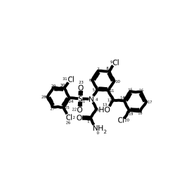 NC(=O)CN(c1ccc(Cl)cc1C(O)c1ccccc1Cl)S(=O)(=O)c1c(Cl)cccc1Cl